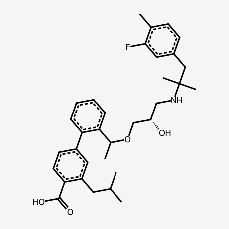 Cc1ccc(CC(C)(C)NC[C@H](O)COC(C)c2ccccc2-c2ccc(C(=O)O)c(CC(C)C)c2)cc1F